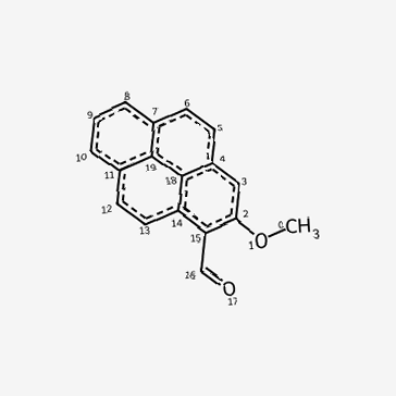 COc1cc2ccc3cccc4ccc(c1C=O)c2c34